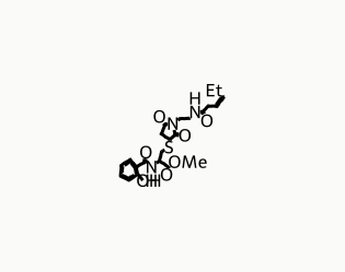 CC/C=C\CC(=O)NCCN1C(=O)CC(SCC(NC(=O)c2ccccc2O)C(=O)OC)C1=O